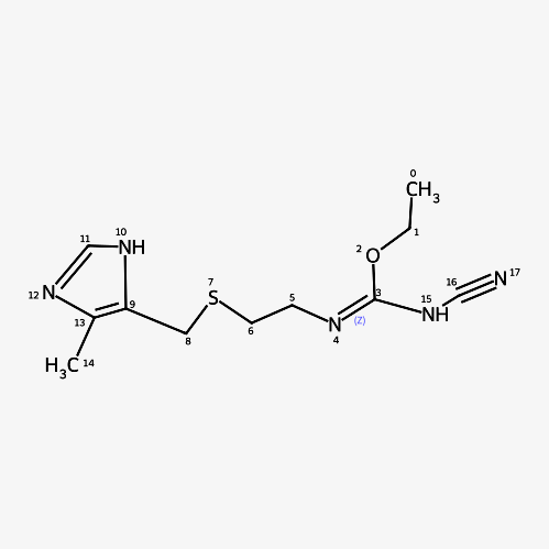 CCO/C(=N\CCSCc1[nH]cnc1C)NC#N